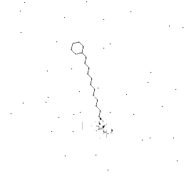 O=P(O)(O)OCCCCCCCCCCCCC1CCCCC1